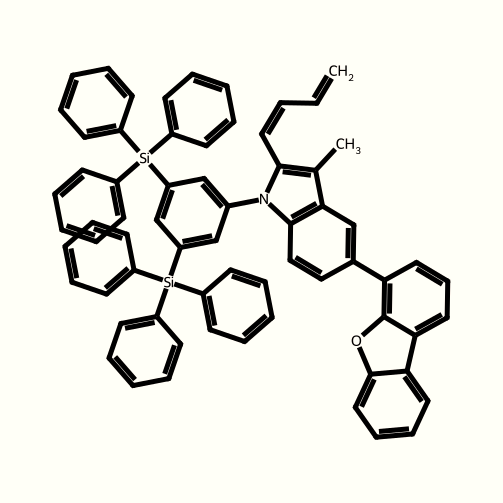 C=C/C=C\c1c(C)c2cc(-c3cccc4c3oc3ccccc34)ccc2n1-c1cc([Si](c2ccccc2)(c2ccccc2)c2ccccc2)cc([Si](c2ccccc2)(c2ccccc2)c2ccccc2)c1